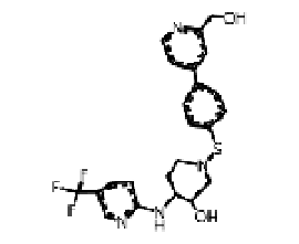 OCc1cc(-c2ccc(SN3CCC(Nc4ccc(C(F)(F)F)cn4)C(O)C3)cc2)ccn1